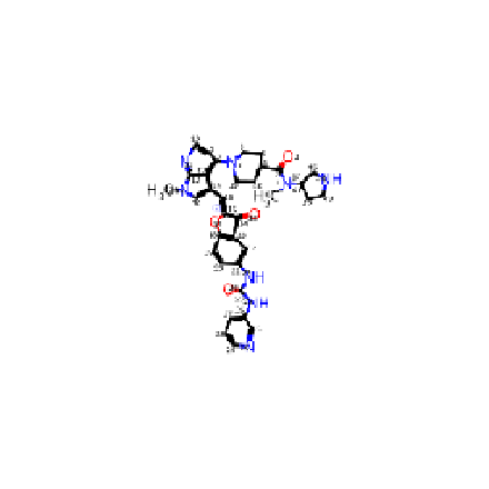 CN(C(=O)C1CCN(c2ccnc3c2c(/C=C2\Oc4ccc(NC(=O)Nc5cccnc5)cc4C2=O)cn3C)CC1)[C@@H]1CCNC1